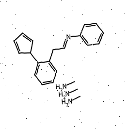 C1=CC(c2ccccc2CC=Nc2ccccc2)C=C1.CN.CN.CN